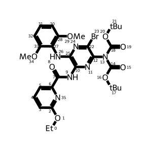 CCOc1cccc(C(=O)Nc2nc(N(C(=O)OC(C)(C)C)C(=O)OC(C)(C)C)c(Br)nc2Nc2c(OC)cccc2OC)n1